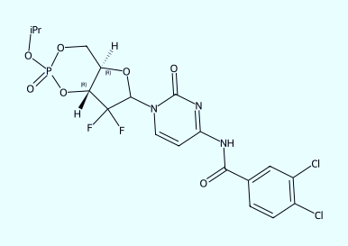 CC(C)OP1(=O)OC[C@H]2OC(n3ccc(NC(=O)c4ccc(Cl)c(Cl)c4)nc3=O)C(F)(F)[C@@H]2O1